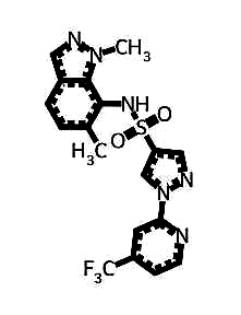 Cc1ccc2cnn(C)c2c1NS(=O)(=O)c1cnn(-c2cc(C(F)(F)F)ccn2)c1